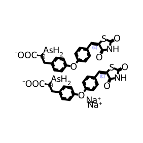 O=C1NC(=O)/C(=C\c2ccc(Oc3ccc(C[C@H]([AsH2])C(=O)[O-])cc3)cc2)S1.O=C1NC(=O)/C(=C\c2ccc(Oc3ccc(C[C@H]([AsH2])C(=O)[O-])cc3)cc2)S1.[Na+].[Na+]